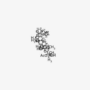 CC(=O)OC(C1C[C@@H](C)[C@H]2C(O1)[C@H](O)[C@@]1(C)C3CC[C@H]4C(C)(C)C(O[C@H]5CN(Cc6ncc[nH]6)CCO5)CCC45CC35CCC21C)C(C)(C)O